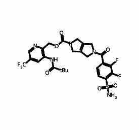 CC(C)(C)C(=O)Nc1cc(C(F)(F)F)cnc1COC(=O)N1CC2=C(C1)CN(C(=O)c1ccc(S(N)(=O)=O)c(F)c1F)C2